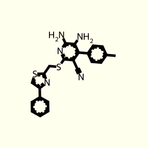 Cc1ccc(-c2c(N)c(N)nc(SCc3nc(-c4ccccc4)cs3)c2C#N)cc1